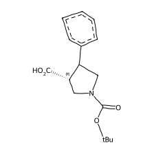 CC(C)(C)OC(=O)N1CC(c2ccccc2)[C@@H](C(=O)O)C1